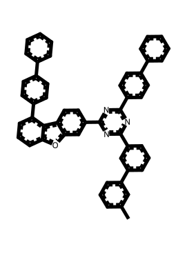 Cc1cccc(-c2cccc(-c3nc(-c4ccc(-c5ccccc5)cc4)nc(-c4ccc5c(c4)oc4cccc(-c6ccc(-c7ccccc7)cc6)c45)n3)c2)c1